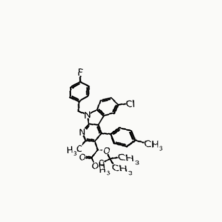 Cc1ccc(-c2c([C@H](OC(C)(C)C)C(=O)O)c(C)nc3c2c2cc(Cl)ccc2n3Cc2ccc(F)cc2)cc1